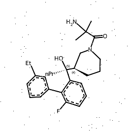 [CH2]CC[C@@](O)(c1cccc(F)c1-c1cccc(CC)c1)[C@@H]1CCCN(C(=O)C(C)(C)N)C1